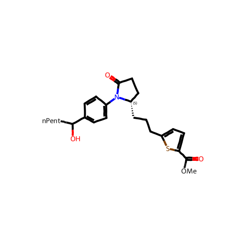 CCCCCC(O)c1ccc(N2C(=O)CC[C@@H]2CCCc2ccc(C(=O)OC)s2)cc1